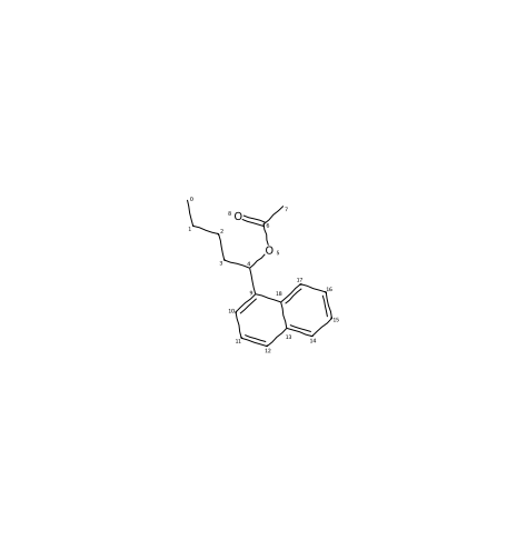 CCCCC(OC(C)=O)c1cccc2ccccc12